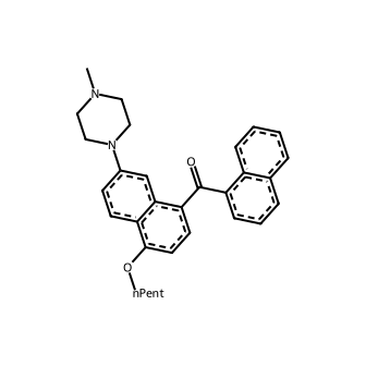 CCCCCOc1ccc(C(=O)c2cccc3ccccc23)c2cc(N3CCN(C)CC3)ccc12